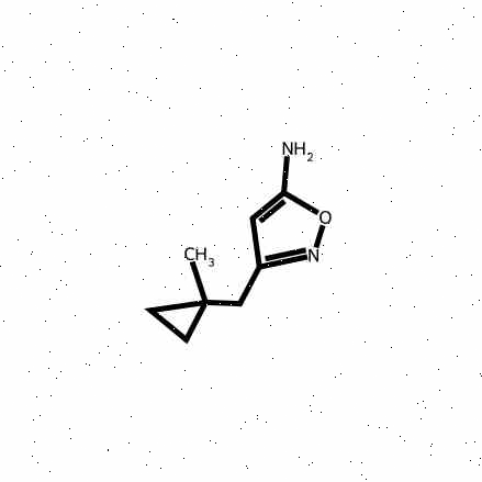 CC1(Cc2cc(N)on2)CC1